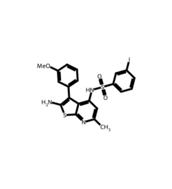 COc1cccc(-c2c(N)sc3nc(C)cc(NS(=O)(=O)c4cccc(I)c4)c23)c1